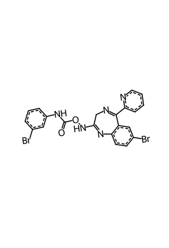 O=C(Nc1cccc(Br)c1)ONC1=Nc2ccc(Br)cc2C(c2ccccn2)=NC1